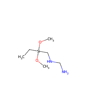 CC[Si](CNCN)(OC)OC